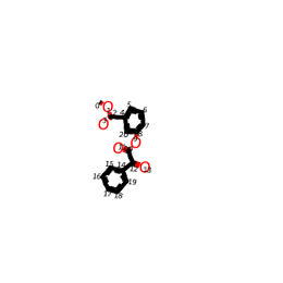 COC(=O)c1cccc(OC(=O)C(=O)c2ccccc2)c1